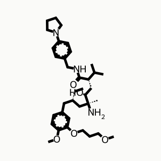 CC[C@@H](Cc1ccc(OC)c(OCCCOC)c1)C[C@](C)(N)[C@@H](O)C[C@H](C(=O)NCc1ccc(N2CCCC2)cc1)C(C)C